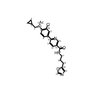 CC(=O)N(CC1CC1)c1ccc(-c2ccc(C(=O)NCCCc3cnco3)cn2)cc1Cl